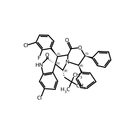 CC(C)(C)C[C@H]1N2C(C(=O)O[C@@H](c3ccccc3)[C@H]2c2ccccc2)[C@H](c2cccc(Cl)c2F)[C@@]12C(=O)Nc1cc(Cl)ccc12